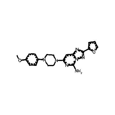 COc1ccc(N2CCN(c3cc4nc(-c5ccco5)nn4c(N)n3)CC2)cc1